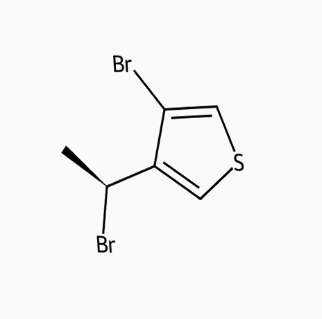 C[C@H](Br)c1cscc1Br